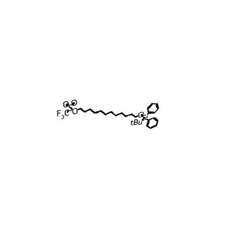 CC(C)(C)[Si](OCCCCCCCCCCCCOS(=O)(=O)C(F)(F)F)(c1ccccc1)c1ccccc1